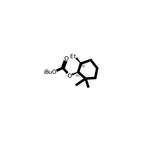 CC[C@H]1CCCC(C)(C)[C@H]1OC(=O)OCC(C)C